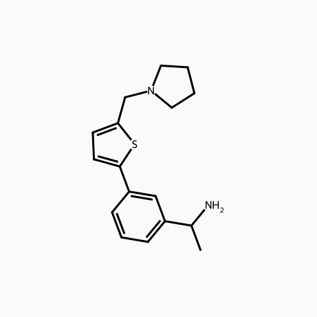 CC(N)c1cccc(-c2ccc(CN3CCCC3)s2)c1